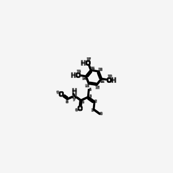 CCC=C(C)C(=O)NC=O.Oc1ccc(O)c(O)c1